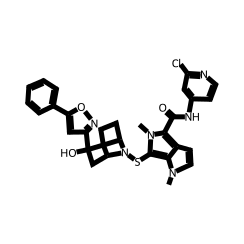 Cn1c(C(=O)Nc2ccnc(Cl)c2)c2ccn(C)c2c1SN1C2CCC23C1CC3(O)c1cc(-c2ccccc2)on1